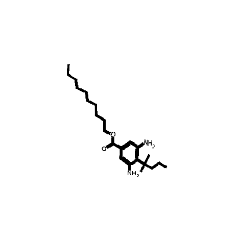 CCCCCCCCCCOC(=O)c1cc(N)c(C(C)(C)CCC)c(N)c1